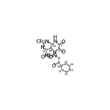 O=C(CNn1c(=O)c(=O)[nH]c2nc(Cl)nc([N+](=O)[O-])c21)c1ccccc1